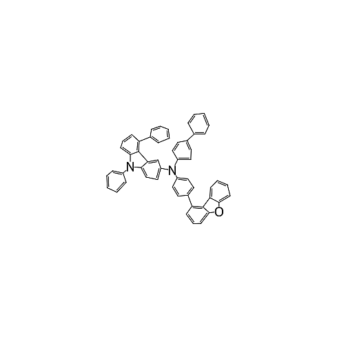 c1ccc(-c2ccc(N(c3ccc(-c4cccc5oc6ccccc6c45)cc3)c3ccc4c(c3)c3c(-c5ccccc5)cccc3n4-c3ccccc3)cc2)cc1